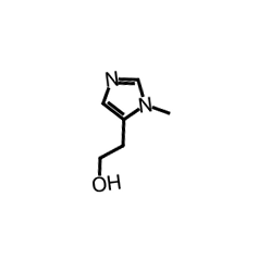 Cn1cncc1CCO